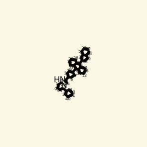 C1=CC2NC(c3ccc(-c4c5ccccc5c(-c5ccc6ccccc6c5)c5ccccc45)cc3)=CN2C(c2ccccc2)=C1